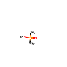 CC(C)COP(=O)([O-])OCC(C)C.[K+]